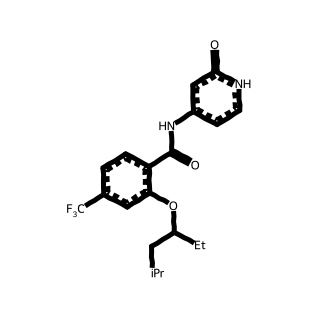 CCC(CC(C)C)Oc1cc(C(F)(F)F)ccc1C(=O)Nc1cc[nH]c(=O)c1